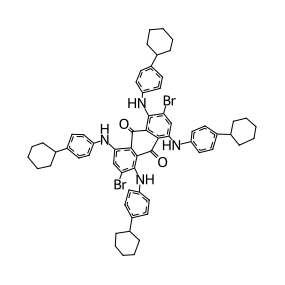 O=C1c2c(Nc3ccc(C4CCCCC4)cc3)cc(Br)c(Nc3ccc(C4CCCCC4)cc3)c2C(=O)c2c(Nc3ccc(C4CCCCC4)cc3)cc(Br)c(Nc3ccc(C4CCCCC4)cc3)c21